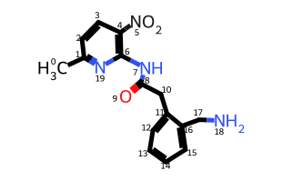 Cc1ccc([N+](=O)[O-])c(NC(=O)Cc2ccccc2CN)n1